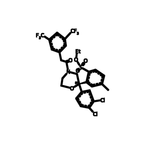 CCOS(=O)(=O)c1ccc(C)cc1[C@]1(c2ccc(Cl)c(Cl)c2)CN(C(=O)Cc2cc(C(F)(F)F)cc(C(F)(F)F)c2)CCO1